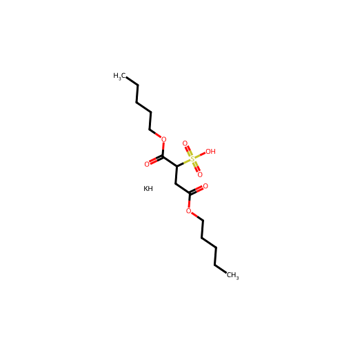 CCCCCOC(=O)CC(C(=O)OCCCCC)S(=O)(=O)O.[KH]